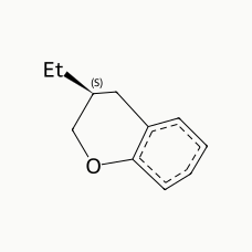 CC[C@@H]1COc2ccccc2C1